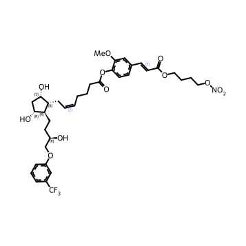 COc1cc(/C=C/C(=O)OCCCCO[N+](=O)[O-])ccc1OC(=O)CCC/C=C\C[C@@H]1[C@@H](CC[C@@H](O)COc2cccc(C(F)(F)F)c2)[C@H](O)C[C@@H]1O